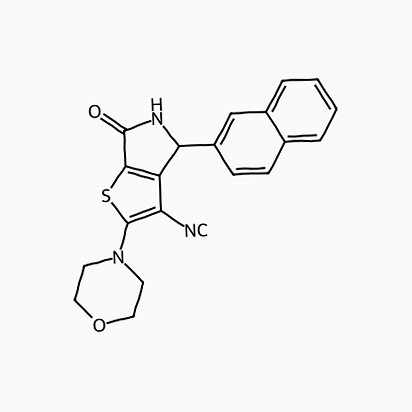 [C-]#[N+]c1c(N2CCOCC2)sc2c1C(c1ccc3ccccc3c1)NC2=O